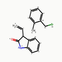 C=CC1C(=O)Nc2ccccc21.Cc1ccccc1CBr